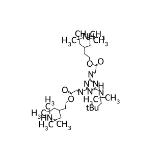 CC(C)(C)CC(C)(C)Nc1nc(N=CC(=O)OCCC2CC(C)(C)NC(C)(C)C2)nc(N=CC(=O)OCCC2CC(C)(C)NC(C)(C)C2)n1